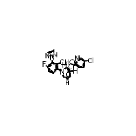 O=Cc1c(N2C[C@@H]3CC[C@H]2[C@H](Oc2ccc(Cl)cn2)C3)ccc(F)c1-n1nccn1